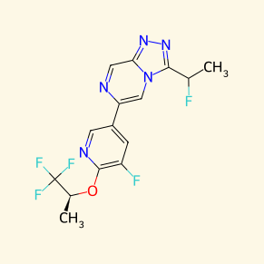 CC(F)c1nnc2cnc(-c3cnc(O[C@@H](C)C(F)(F)F)c(F)c3)cn12